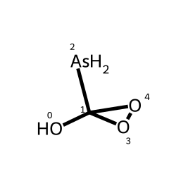 OC1([AsH2])OO1